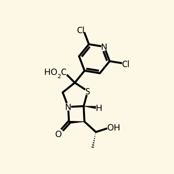 C[C@@H](O)[C@H]1C(=O)N2CC(C(=O)O)(c3cc(Cl)nc(Cl)c3)S[C@H]12